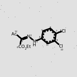 CCOC(=O)/C(=N\Nc1ccc(Cl)c(Cl)c1)C(C)=O